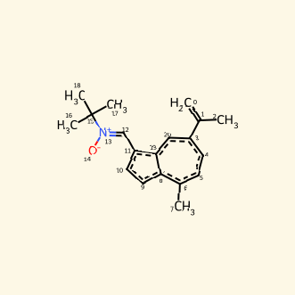 C=C(C)c1ccc(C)c2ccc(C=[N+]([O-])C(C)(C)C)c-2c1